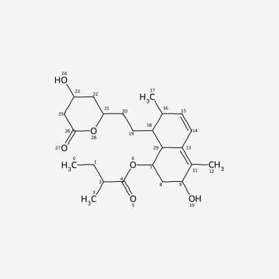 CCC(C)C(=O)OC1CC(O)C(C)=C2C=CC(C)C(CCC3CC(O)CC(=O)O3)C21